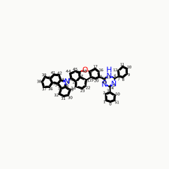 c1ccc(C2=NC(c3ccccc3)NC(c3ccc4c(c3)-c3cccc5c(-n6c7ccccc7c7c8ccccc8ccc76)ccc(c35)O4)=N2)cc1